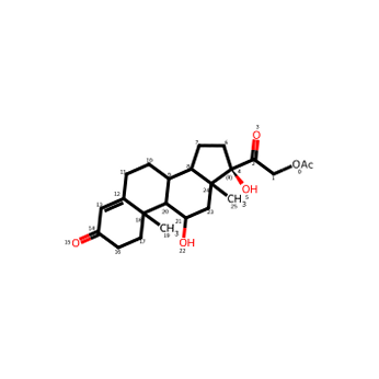 CC(=O)OCC(=O)[C@@]1(O)CCC2C3CCC4=CC(=O)CCC4(C)C3C(O)CC21C